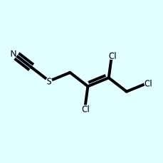 N#CSCC(Cl)=C(Cl)CCl